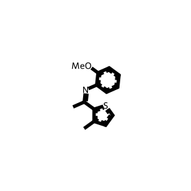 COc1ccccc1N=C(C)c1sccc1C